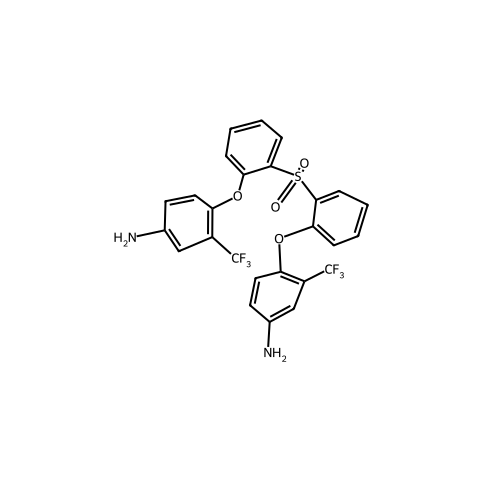 Nc1ccc(Oc2ccccc2S(=O)(=O)c2ccccc2Oc2ccc(N)cc2C(F)(F)F)c(C(F)(F)F)c1